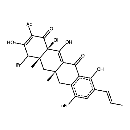 C/C=C/c1cc(CCC)c2c(c1O)C(=O)C1=C(O)[C@@]3(O)C(=O)C(C(C)=O)=C(O)C(C(C)C)[C@@]3(C)C[C@@]1(C)C2